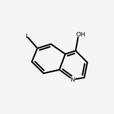 Oc1ccnc2ccc(I)cc12